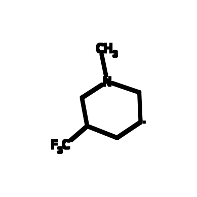 CN1C[CH]CC(C(F)(F)F)C1